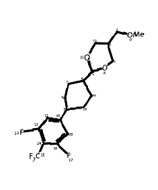 COCC1COC(C2CCC(c3cc(F)c(C(F)(F)F)c(F)c3)CC2)OC1